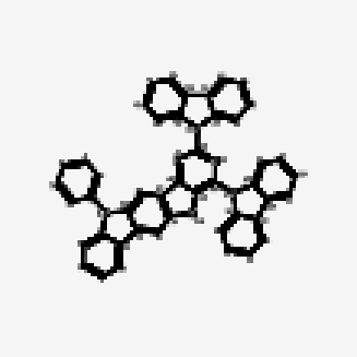 c1ccc(-n2c3ccccc3c3cc4oc5c(-n6c7ccccc7c7ccccc76)nc(-n6c7ccccc7c7ccccc76)nc5c4cc32)cc1